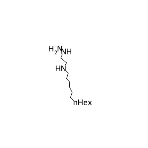 CCCCCCCCCCCCNCCNN